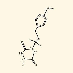 [CH2][C@@H]1NC(=O)[C@@H](C(C)(C)SCc2ccc(OC)cc2)NC1=O